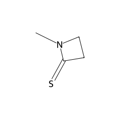 CN1CCC1=S